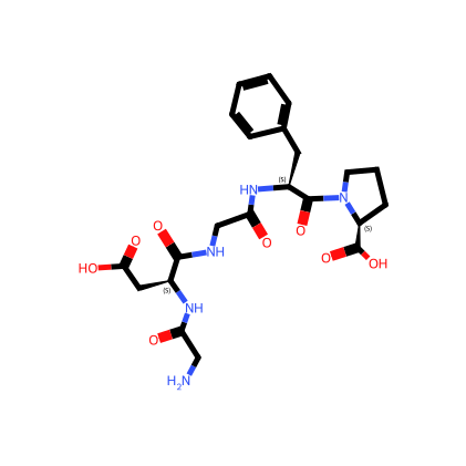 NCC(=O)N[C@@H](CC(=O)O)C(=O)NCC(=O)N[C@@H](Cc1ccccc1)C(=O)N1CCC[C@H]1C(=O)O